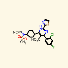 CS(=O)(=O)N(CC#N)C1CCC(C2=C(C(=O)O)C(c3ccc(F)cc3Cl)N=C(c3nccs3)N2)CC1